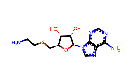 NCCSC[C@@H]1O[C@H](n2cnc3c(N)ncnc32)[C@@H](O)[C@H]1O